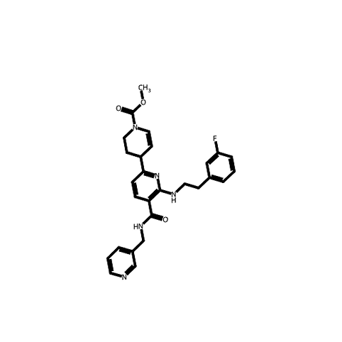 COC(=O)N1C=CC(c2ccc(C(=O)NCc3cccnc3)c(NCCc3cccc(F)c3)n2)CC1